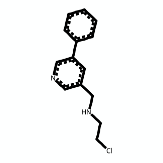 ClCCNCc1cncc(-c2ccccc2)c1